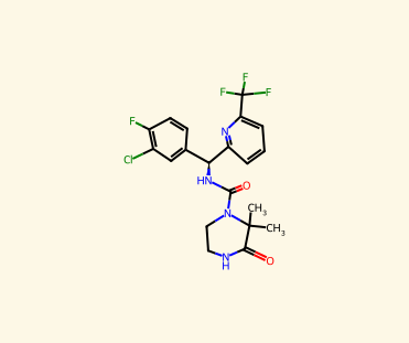 CC1(C)C(=O)NCCN1C(=O)N[C@@H](c1ccc(F)c(Cl)c1)c1cccc(C(F)(F)F)n1